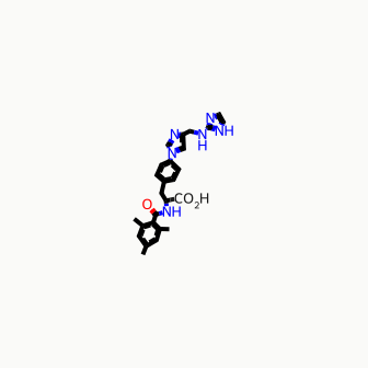 Cc1cc(C)c(C(=O)NC(Cc2ccc(-n3cnc(CNc4ncc[nH]4)c3)cc2)C(=O)O)c(C)c1